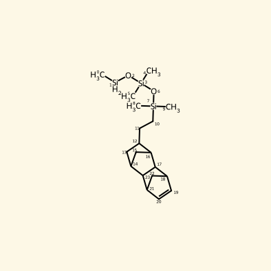 C[SiH2]O[Si](C)(C)O[Si](C)(C)CCC1CC2CC1C1C3C=CC(C3)C21